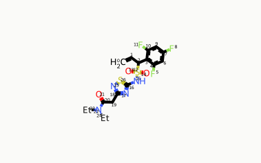 C=CC(c1c(F)cc(F)cc1F)S(=O)(=O)Nc1nc(CC(=O)N(CC)CC)ns1